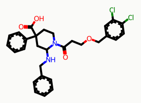 O=C(CCOCc1ccc(Cl)c(Cl)c1)N1CCC(C(=O)O)(c2ccccc2)CC1NCc1ccccc1